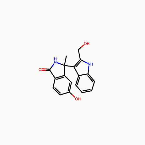 CC1(c2c(CO)[nH]c3ccccc23)NC(=O)c2ccc(O)cc21